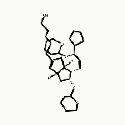 OCCCCCC1=C[C@H]2C[C@@H](OC3CCCCO3)[C@@H](/C=C\[C@@H](OC3CCCCO3)C3CCCC3)[C@H]2C1